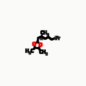 CC(C)CCC[C@@H](C)CC1OC(C)C(C)O1